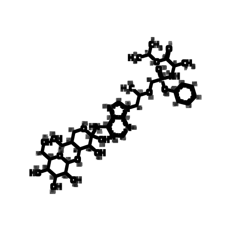 CC(C)OC(=O)C(C)NP(=O)(COC(C)Cn1cnc2c(NC3(O)OCC(CO)C(OC4OC(CO)C(O)C(O)C4O)C3O)ncnc21)Oc1ccccc1